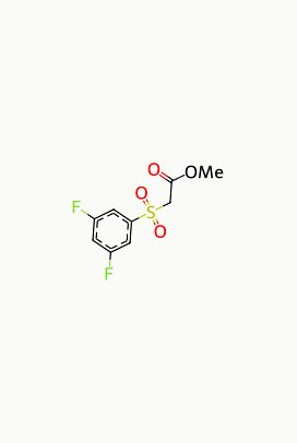 COC(=O)CS(=O)(=O)c1cc(F)cc(F)c1